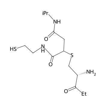 CCC(=O)[C@@H](N)CSC(CC(=O)NC(C)C)C(=O)NCCS